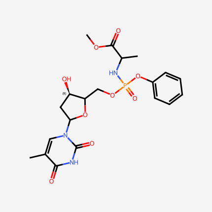 COC(=O)C(C)NP(=O)(OCC1OC(n2cc(C)c(=O)[nH]c2=O)C[C@H]1O)Oc1ccccc1